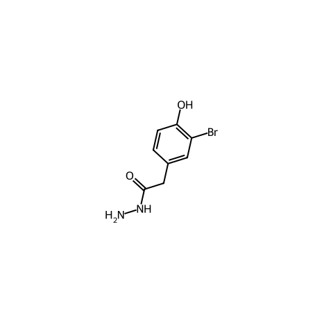 NNC(=O)Cc1ccc(O)c(Br)c1